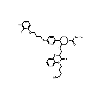 COCCCN1C(=O)C(COC2CN(C(=O)OC(C)(C)C)CCC2c2ccc(OCCCOc3cccc(F)c3F)cc2)Oc2ccccc21